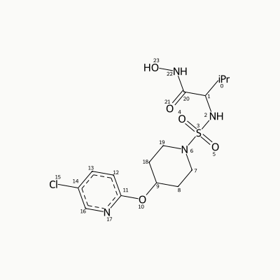 CC(C)C(NS(=O)(=O)N1CCC(Oc2ccc(Cl)cn2)CC1)C(=O)NO